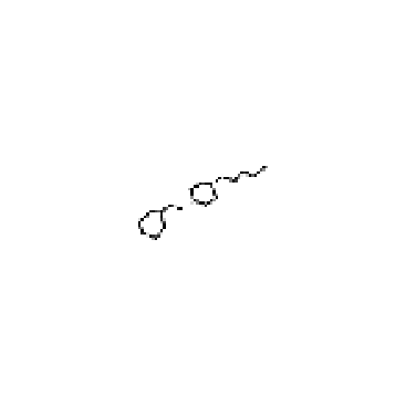 CCCCC[C@H]1CC[C@H](CCC2CCCCC2)CC1